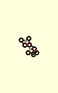 c1ccc(-n2c3ccccc3c3ccccc32)c(-c2ccc3c(c2)c2cccc4c2n3-c2ccccc2C42C3CCC4CCC(C3)CC42)c1